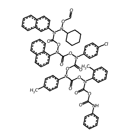 Cc1ccc(N(OC(=O)N(OC(=O)N(OC(=O)N(c2ccc3ccccc3c2)N(OC=O)C2CCCCC2)c2cccc3ccccc23)c2ccc(Cl)cc2)C(=O)ON(C(=O)OC(=O)Nc2ccccc2)c2ccccc2C)cc1